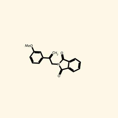 C=C(CN1C(=O)c2ccccc2C1=O)c1cccc(OC)c1